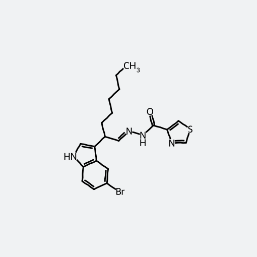 CCCCCCC(C=NNC(=O)c1cscn1)c1c[nH]c2ccc(Br)cc12